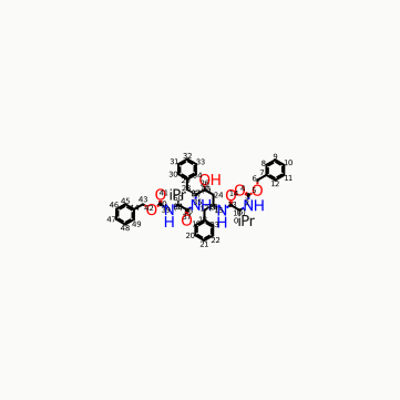 CC(C)[C@H](NC(=O)OCc1ccccc1)C(=O)N[C@@H](Cc1ccccc1)C[C@H](O)[C@H](Cc1ccccc1)NC(=O)[C@@H](NC(=O)OCc1ccccc1)C(C)C